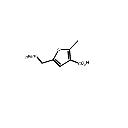 CCCCCCc1cc(C(=O)O)c(C)o1